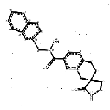 O=C(c1ccc2c(c1)C[C@]1(CCNC1=O)CC2)N(O)Cc1ccc2ccccc2c1